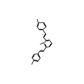 Cc1ccc(/C=C/c2cccc(/C=C/c3ccc(C)cc3)[n+]2C)cc1